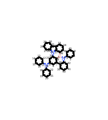 c1ccc(N2B3c4c(cc(N(c5ccccc5)c5ccccc5)cc4-n4c5ccccc5c5cccc3c54)-c3ccccc32)cc1